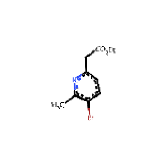 CCOC(=O)Cc1ccc(Br)c(C)n1